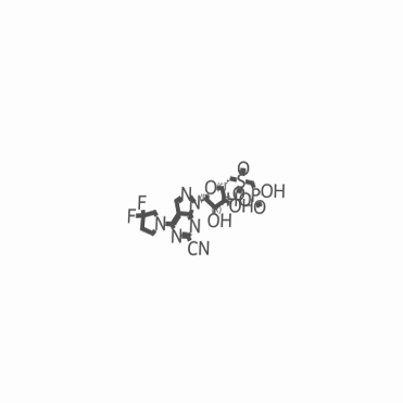 N#Cc1nc(N2CCC(F)(F)C2)c2cnn([C@@H]3O[C@H](CS(=O)(=O)CP(=O)(O)O)[C@@H](O)[C@H]3O)c2n1